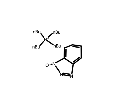 CCCC[N+](CCCC)(CCCC)CCCC.[O-]n1nnc2ccccc21